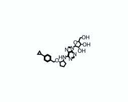 OCC1OC(n2cnc3c(NC4CCC[C@H]4OCc4ccc(C5CC5)cc4)ncnc32)[C@H](O)[C@@H]1O